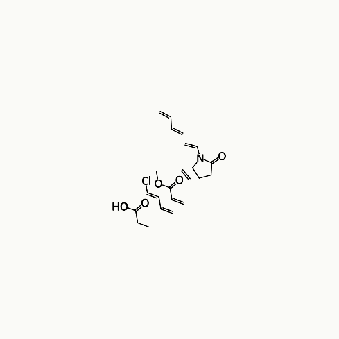 C=C.C=CC(=O)OC.C=CC=C.C=CC=CCl.C=CN1CCCC1=O.CCC(=O)O